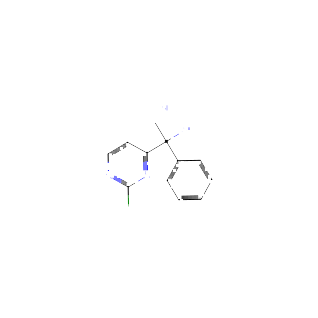 CC(N)(c1ccccc1)c1ccnc(Cl)n1.N